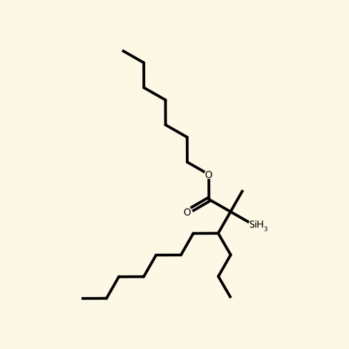 CCCCCCCOC(=O)C(C)([SiH3])C(CCC)CCCCCCC